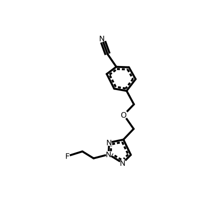 N#Cc1ccc(COCc2cnn(CCF)n2)cc1